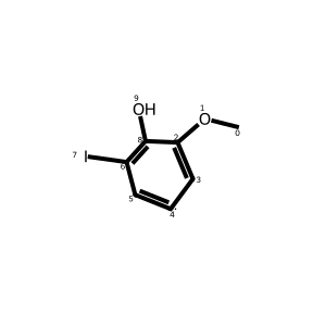 COc1c[c]cc(I)c1O